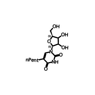 CCCCCc1cn([C@H]2O[C@@H](CO)C(O)C2O)c(=O)[nH]c1=O